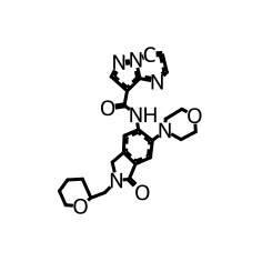 O=C(Nc1cc2c(cc1N1CCOCC1)C(=O)N(CC1CCCCO1)C2)c1cnn2cccnc12